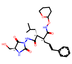 CC(C)C[C@@H](C(=O)NN1C(=O)N[C@@H](CO)C1=O)[C@H](CC=Cc1ccccc1)C(=O)NOC1CCCCO1